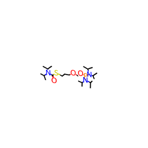 CC(C)N(C(=O)SCCCOCOP(N(C(C)C)C(C)C)N(C(C)C)C(C)C)C(C)C